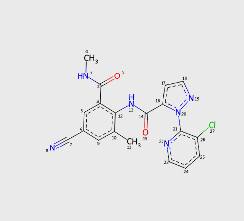 CNC(=O)c1cc(C#N)cc(C)c1NC(=O)c1ccnn1-c1ncccc1Cl